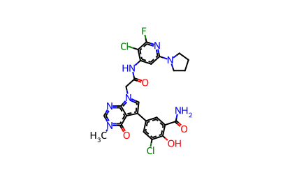 Cn1cnc2c(c(-c3cc(Cl)c(O)c(C(N)=O)c3)cn2CC(=O)Nc2cc(N3CCCC3)nc(F)c2Cl)c1=O